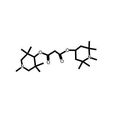 CN1CC(C)(C)C(OC(=O)CC(=O)OC2CC(C)(C)N(C)C(C)(C)C2)C(C)(C)C1